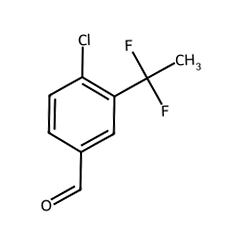 CC(F)(F)c1cc(C=O)ccc1Cl